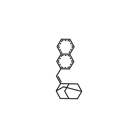 C(=C1C2CC3CC(C2)CC1C3)c1ccc2ccccc2c1